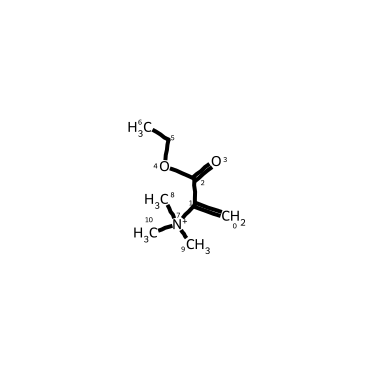 C=C(C(=O)OCC)[N+](C)(C)C